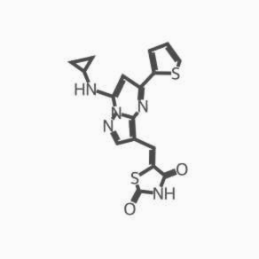 O=C1NC(=O)/C(=C/c2cnn3c(NC4CC4)cc(-c4cccs4)nc23)S1